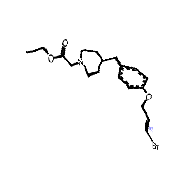 CCOC(=O)CN1CCC(Cc2ccc(OC/C=C/Br)cc2)CC1